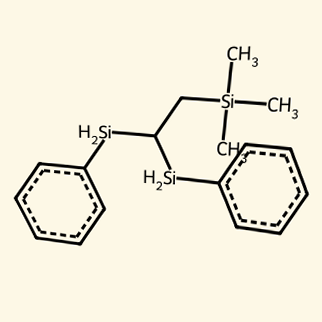 C[Si](C)(C)CC([SiH2]c1ccccc1)[SiH2]c1ccccc1